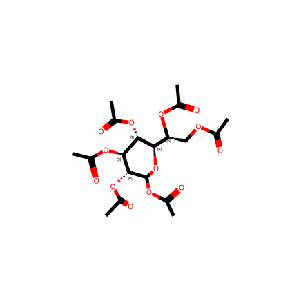 CC(=O)OC[C@H](OC(C)=O)[C@H]1OC(OC(C)=O)[C@H](OC(C)=O)[C@@H](OC(C)=O)[C@@H]1OC(C)=O